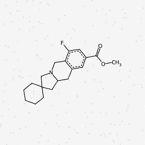 COC(=O)c1cc(F)c2c(c1)CC1CC3(CCCCC3)CN1C2